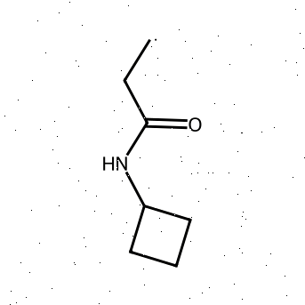 [CH2]CC(=O)NC1CCC1